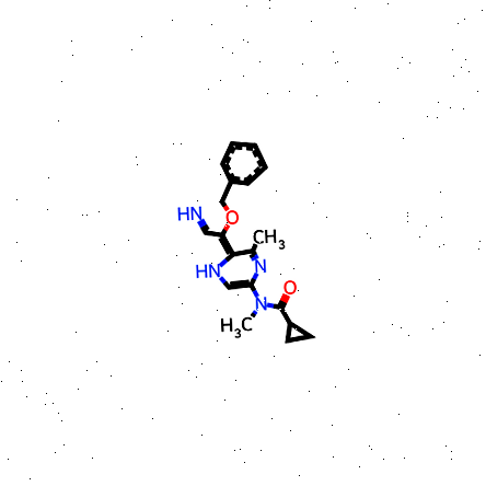 CC1=NC(N(C)C(=O)C2CC2)=CN/C1=C(\C=N)OCc1ccccc1